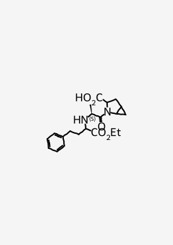 CCOC(=O)C(CCc1ccccc1)N[C@@H](C)C(=O)N1C(C(=O)O)CC2CC21